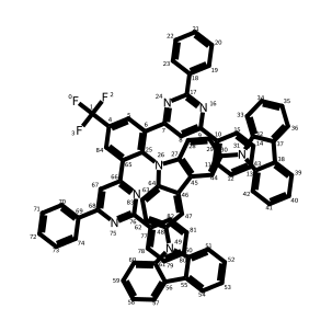 FC(F)(F)c1cc(-c2cc(-c3ccccc3)nc(-c3ccccc3)n2)c(-n2c3ccc(-n4c5ccccc5c5ccccc54)cc3c3cc(-n4c5ccccc5c5ccccc54)ccc32)c(-c2cc(-c3ccccc3)nc(-c3ccccc3)n2)c1